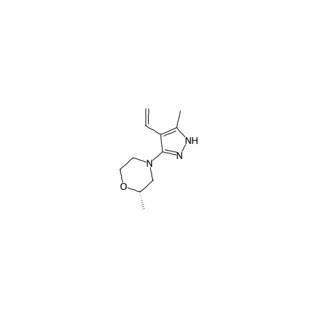 C=Cc1c(N2CCO[C@@H](C)C2)n[nH]c1C